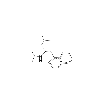 CC(C)C[C@H](Cc1cccc2ccccc12)NC(C)C